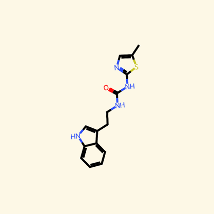 Cc1cnc(NC(=O)NCCc2c[nH]c3ccccc23)s1